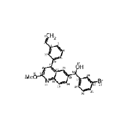 C=Cc1cccc(-c2cc(OC)nc3ccc(C(O)c4cccc(Br)c4)cc23)c1